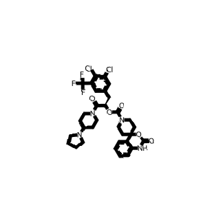 O=C1Nc2ccccc2C2(CCN(C(=O)O[C@H](Cc3cc(Cl)c(Cl)c(C(F)(F)F)c3)C(=O)N3CCC(N4CCCC4)CC3)CC2)O1